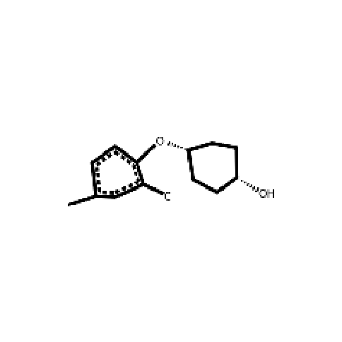 Cc1ccc(O[C@H]2CC[C@@H](O)CC2)c(Cl)c1